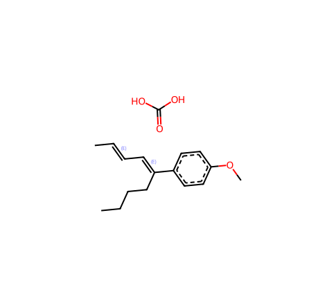 C/C=C/C=C(\CCCC)c1ccc(OC)cc1.O=C(O)O